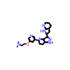 CN(C)CCOc1cncc(-c2ccc3[nH]nc(-c4cc5cccnc5[nH]4)c3n2)c1